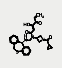 C=CC(=O)/C(O)=C/C(=O)N(CN[C@H]1c2ccccc2CSc2ccccc21)C1CN(C(=O)C2CC2)C1